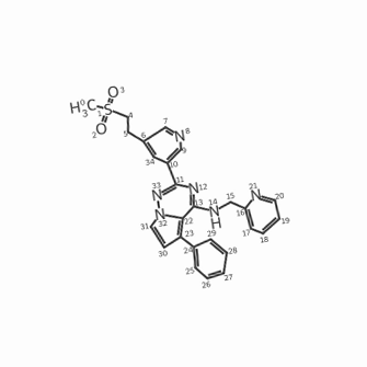 CS(=O)(=O)CCc1cncc(-c2nc(NCc3ccccn3)c3c(-c4ccccc4)ccn3n2)c1